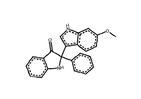 COc1ccc2c(C3(c4ccccc4)Nc4ccccc4C3=O)c[nH]c2c1